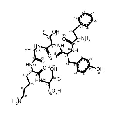 C[C@H](NC(=O)[C@@H](NC(=O)[C@H](Cc1ccc(O)cc1)NC(=O)[C@@H](N)Cc1ccccc1)[C@@H](C)O)C(=O)N[C@@H](CCCCN)C(=O)N[C@H](C(=O)O)[C@@H](C)O